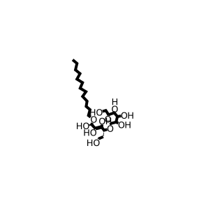 CCCCCCCCCCCCCO[C@H](O)/C(O)=C(\O)[C@@H](CCO)O[C@H]1OC(CO)[C@@H](O)C(O)C1O